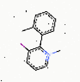 Cc1ccccc1-c1c(I)ccc[n+]1C